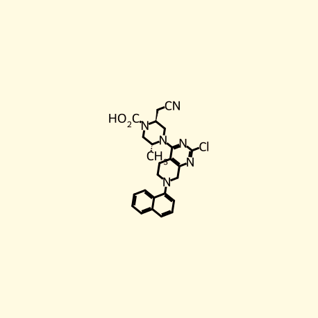 C[C@@H]1CN(C(=O)O)[C@@H](CC#N)CN1c1nc(Cl)nc2c1CCN(c1cccc3ccccc13)C2